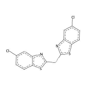 Clc1ccc2sc(Cc3nc4cc(Cl)ccc4s3)nc2c1